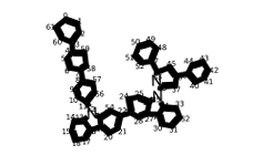 c1ccc(-c2ccc(-c3ccc(-n4c5ccccc5c5ccc(-c6ccc7c(c6)c6ccccc6n7-c6cc(-c7ccccc7)cc(-c7ccccc7)n6)cc54)cc3)cc2)cc1